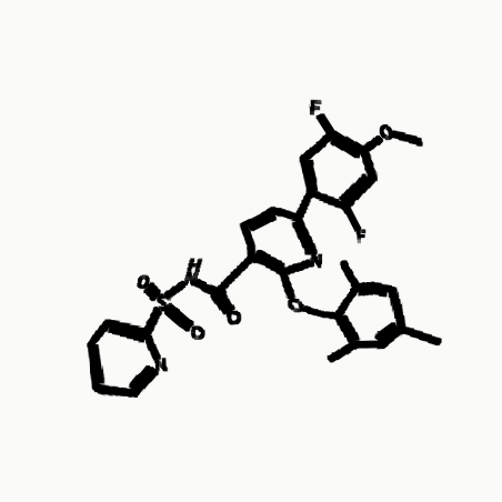 COc1cc(F)c(-c2ccc(C(=O)NS(=O)(=O)c3ccccn3)c(Oc3c(C)cc(C)cc3C)n2)cc1F